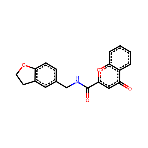 O=C(NCc1ccc2c(c1)CCO2)c1cc(=O)c2ccccc2o1